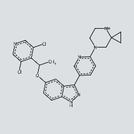 CC(Oc1ccc2[nH]nc(-c3ccc(N4CCNC5(CC5)C4)nc3)c2c1)c1c(Cl)cncc1Cl